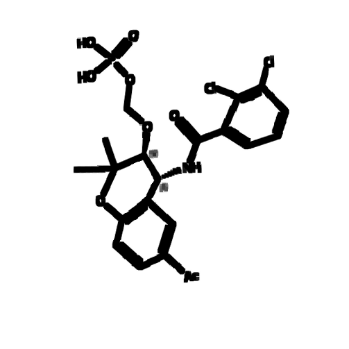 CC(=O)c1ccc2c(c1)[C@@H](NC(=O)c1cccc(Cl)c1Cl)[C@H](OCOP(=O)(O)O)C(C)(C)O2